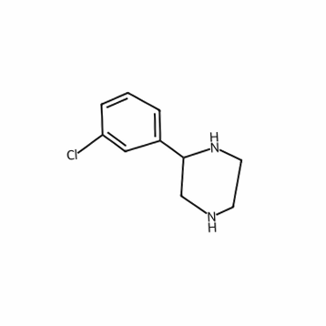 Clc1cccc(C2CNCCN2)c1